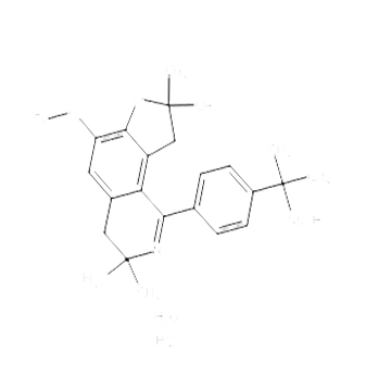 CCOc1cc2c(c3c1OC(C)(C)C3)C(c1ccc(C(C)(C)C(=O)O)cc1)=NC(C)(C)C2.Cl.O